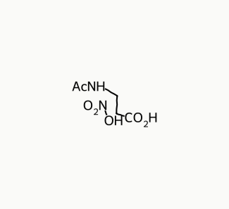 CC(=O)NCCC(=O)O.O=[N+]([O-])O